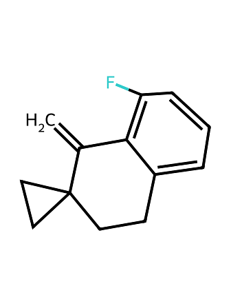 C=C1c2c(F)cccc2CCC12CC2